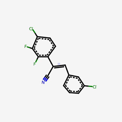 N#C/C(=C\c1cccc(Cl)c1)c1ccc(Cl)c(F)c1F